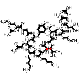 CCCCC[C@H](NC(=O)[C@H](CCCCN)NC(=O)[C@H](CCC(N)=O)NC(=O)[C@H](Cc1ccc(O)cc1)NC(=O)CNC(=O)[C@H](CCSC)NC(C)=O)C(=O)N[C@@H](CC(C)C)C(=O)N[C@@H](CCCC)C(=O)N[C@@H](CO)C(=O)N[C@@H](CCSC)C(=O)N[C@H](C(=O)N[C@@H](CC(=O)O)C(C)=O)[C@@H](C)O